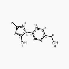 Cc1cc(O)n(-c2ccc(CO)cn2)n1